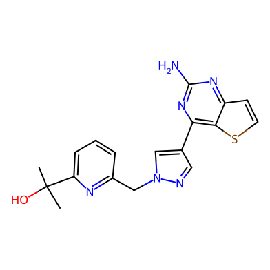 CC(C)(O)c1cccc(Cn2cc(-c3nc(N)nc4ccsc34)cn2)n1